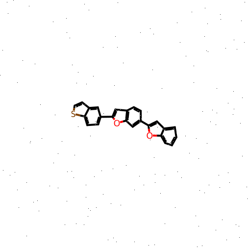 c1ccc2oc(-c3ccc4cc(-c5ccc6sccc6c5)oc4c3)cc2c1